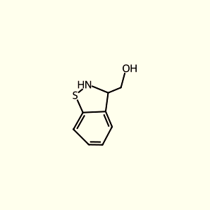 OCC1NSc2ccccc21